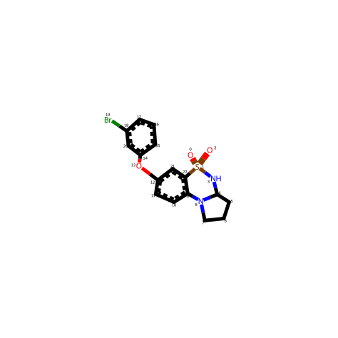 O=S1(=O)NC2CCCN2c2ccc(Oc3cccc(Br)c3)cc21